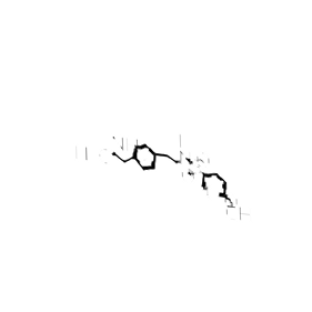 COc1ccc(S(=O)(=O)NCCc2ccc(CC(C)N)cc2)cc1